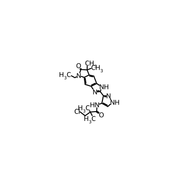 CCN1C(=O)C(C)(C)c2cc3[nH]c(-c4n[nH]cc4NC(=O)C(C)(C)CCl)nc3cc21